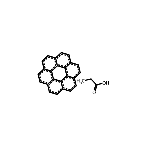 CCC(=O)O.c1cc2ccc3ccc4ccc5ccc6ccc1c1c2c3c4c5c61